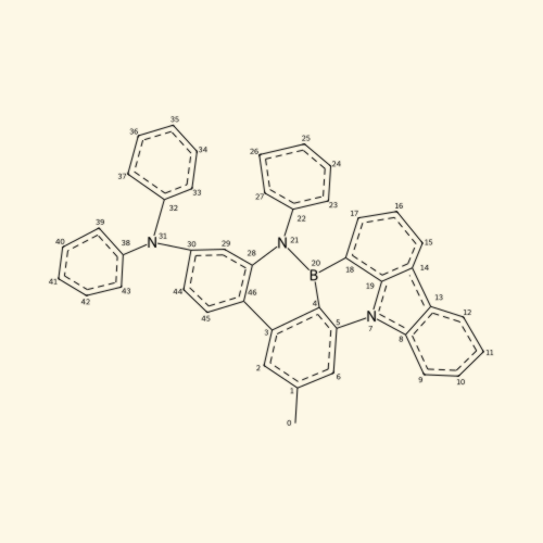 Cc1cc2c3c(c1)-n1c4ccccc4c4cccc(c41)B3N(c1ccccc1)c1cc(N(c3ccccc3)c3ccccc3)ccc1-2